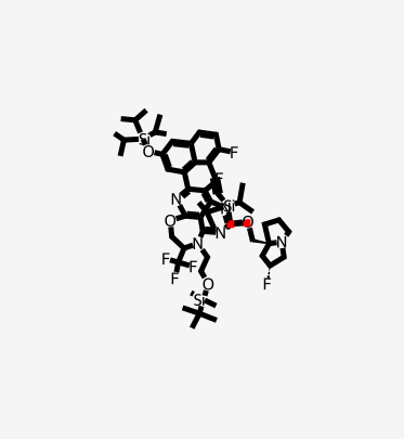 CC(C)[Si](C#Cc1c(F)ccc2cc(O[Si](C(C)C)(C(C)C)C(C)C)cc(-c3nc4c5c(nc(OC[C@@]67CCCN6C[C@H](F)C7)nc5c3F)N(CCO[Si](C)(C)C(C)(C)C)C(C(F)(F)F)CO4)c12)(C(C)C)C(C)C